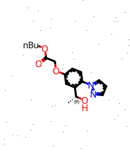 CCCCOC(=O)COc1ccc(-n2cccn2)c([C@@H](C)O)c1